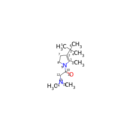 CC1=C(C(C)(C)C)CCN1C(=O)CN(C)C